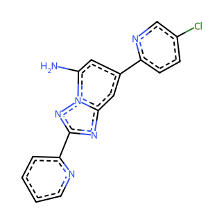 Nc1cc(-c2ccc(Cl)cn2)cc2nc(-c3ccccn3)nn12